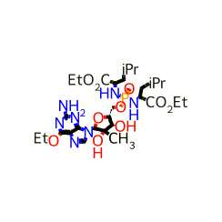 CCOC(=O)C(CC(C)C)NP(=O)(NC(CC(C)C)C(=O)OCC)OC[C@H]1O[C@@H](n2cnc3c(OCC)nc(N)nc32)C(C)(O)[C@H]1O